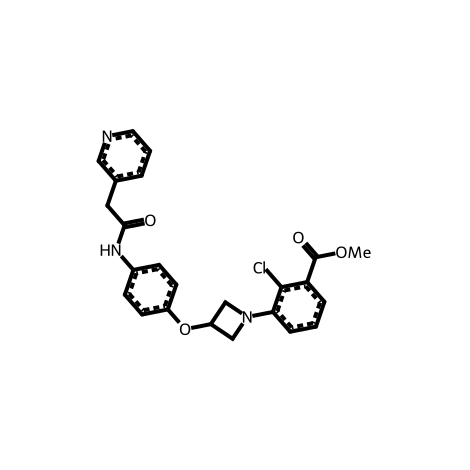 COC(=O)c1cccc(N2CC(Oc3ccc(NC(=O)Cc4cccnc4)cc3)C2)c1Cl